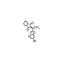 C[C@@H](c1cc2ncc(Br)cc2o1)N1C(=O)c2ccccc2C1=O